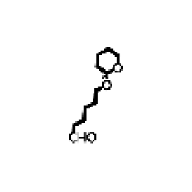 O=CCCCCCO[C@@H]1CCCCO1